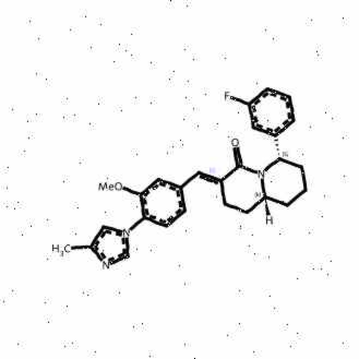 COc1cc(/C=C2\CC[C@H]3CCC[C@@H](c4cccc(F)c4)N3C2=O)ccc1-n1cnc(C)c1